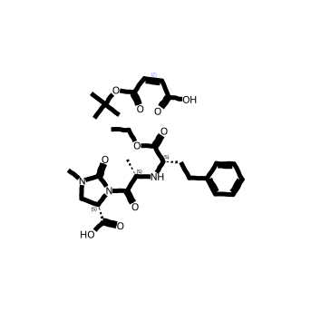 CC(C)(C)OC(=O)/C=C\C(=O)O.CCOC(=O)[C@H](CCc1ccccc1)N[C@@H](C)C(=O)N1C(=O)N(C)C[C@H]1C(=O)O